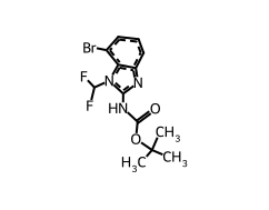 CC(C)(C)OC(=O)Nc1nc2cccc(Br)c2n1C(F)F